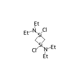 CCN(CC)[Si]1(Cl)C[Si](Cl)(N(CC)CC)C1